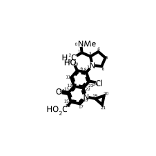 CNC(C)C1CCCN1c1c(O)cc2c(=O)c(C(=O)O)cn(C3CC3)c2c1Cl